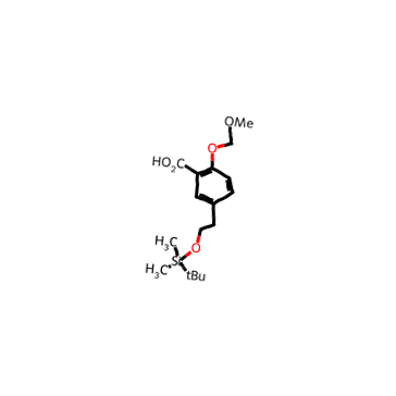 COCOc1ccc(CCO[Si](C)(C)C(C)(C)C)cc1C(=O)O